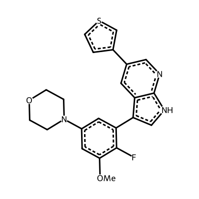 COc1cc(N2CCOCC2)cc(-c2c[nH]c3ncc(-c4ccsc4)cc23)c1F